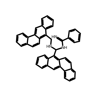 N=C(NC(NCc1c2ccccc2cc2c1ccc1ccccc12)c1c2ccccc2cc2c1ccc1ccccc12)c1ccccc1